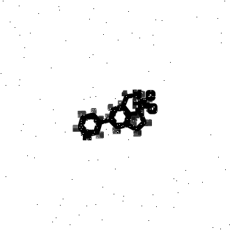 O=S1(=O)NCc2cc(-c3cccnc3)cc3c2N1CC3